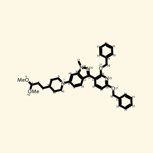 COC(CCC1CCN(c2ccc3c(-c4ccc(OCc5ccccc5)nc4OCc4ccccc4)nn(C)c3c2)CC1)OC